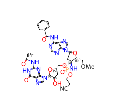 COC[C@H]1O[C@@H](n2cnc3c(NC(=O)c4ccccc4)ncnc32)C[C@@H]1NP(=O)(OCCC#N)OC[C@@H]1C[C@@H](O)[C@H](n2cnc3c(=O)[nH]c(NC(=O)C(C)C)nc32)O1